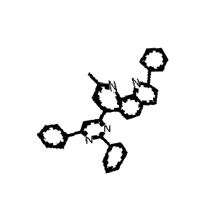 Cc1cc(-c2cc(-c3ccccc3)nc(-c3ccccc3)n2)c2ccc3ccc(-c4ccccc4)nc3c2n1